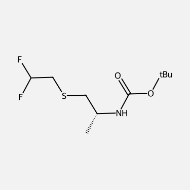 C[C@H](CSCC(F)F)NC(=O)OC(C)(C)C